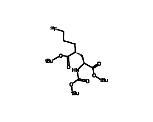 CC(C)(C)OC(=O)N[C@@H](C[C@@H](CCC[18F])C(=O)OC(C)(C)C)C(=O)OC(C)(C)C